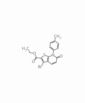 CCOC(=O)c1sc2c(ccc(=O)n2-c2ccc(C)cc2)c1Br